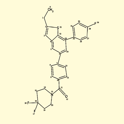 CCc1cc2cc(-c3ccc(C(=O)N4CCC(F)(F)CC4)cc3)cc(-c3ccc(F)cc3)c2s1